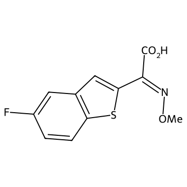 CO/N=C(/C(=O)O)c1cc2cc(F)ccc2s1